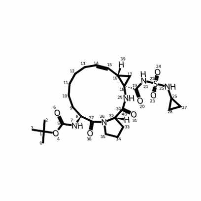 CC(C)(C)OC(=O)N[C@H]1CCCCC/C=C\[C@@H]2C[C@@]2(C(=O)NS(=O)(=O)NC2CC2)NC(=O)[C@@H]2CCCN2C1=O